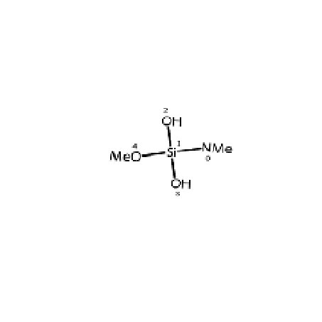 CN[Si](O)(O)OC